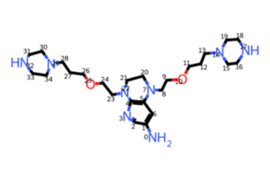 Nc1cnc2c(c1)N(CCOCCCN1CCNCC1)CCN2CCOCCCN1CCNCC1